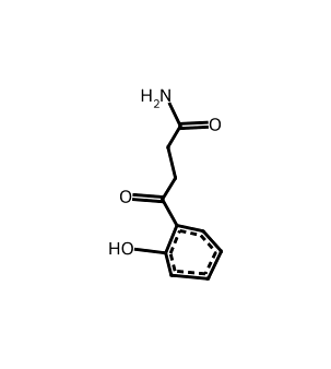 NC(=O)CCC(=O)c1ccccc1O